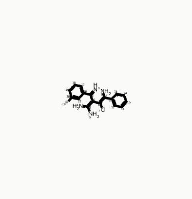 N=C(C(=C(N)N)/C(Cl)=C(\N)c1ccccc1)c1cccc(F)c1